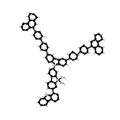 C[Si]1(C)c2cc(-c3cccc4c3oc3ccccc34)ccc2-c2ccc(-n3c4ccc(-c5ccc(-c6ccc(-c7cc8ccccc8c8ccccc78)cc6)cc5)cc4c4cc(-c5ccc(-c6ccc(-c7cc8ccccc8c8ccccc78)cc6)cc5)ccc43)cc21